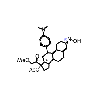 COCC(=O)[C@]1(OC(C)=O)CCC2C3CCC4=C/C(=N\O)CCC4=C3C(c3ccc(N(C)C)cc3)C[C@@]21C